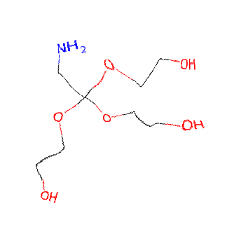 NCC(OCCO)(OCCO)OCCO